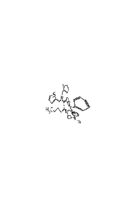 CCCCC(C(=O)N(Cc1cccs1)Cc1cccs1)N(C)S(=O)(=O)c1ccccc1